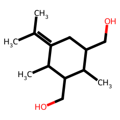 CC(C)=C1CC(CO)C(C)C(CO)C1C